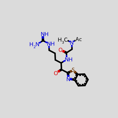 CC(=O)N(C)CC(=O)NC(CCCNC(=N)N)C(=O)c1nc2ccccc2s1